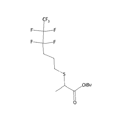 CC(C)COC(=O)C(C)SCCCC(F)(F)C(F)(F)C(F)(F)F